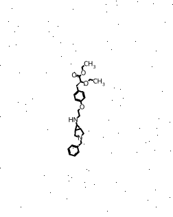 CCOC(=O)[C@H](Cc1ccc(OCCNC2C3CN(Cc4ccccc4)CC32)cc1)OCC